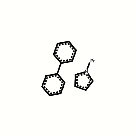 CC(C)n1cccc1.c1ccc(-c2ccccc2)cc1